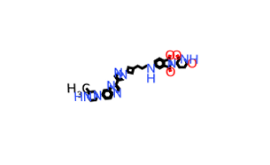 CC1CN(c2ccc3ncc(-c4cnn(C5CC(CCCNc6ccc7c(c6)C(=O)N(C6CCC(=O)NC6=O)C7=O)C5)c4)nc3c2)CCN1